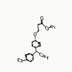 CC(C)OC(=O)CCOc1ccc(C(O)c2ccc(Cl)cc2)cc1